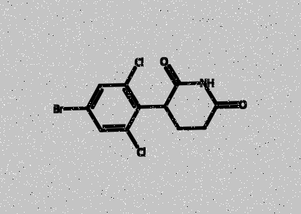 O=C1CCC(c2c(Cl)cc(Br)cc2Cl)C(=O)N1